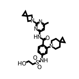 Cc1cc(NC(=O)c2ccc(NS(=O)(=O)CCO)cc2N2CCC3(CC2)CC3)nc(N2CC3(CC3)C2)n1